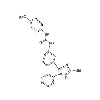 COc1ccc(NC(=O)Nc2cccc(-c3nc(C(C)(C)C)[nH]c3-c3ccncc3)c2)cc1